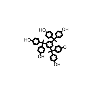 CC(c1ccc(O)cc1)(c1ccc(O)cc1)c1cc(C(C)(c2ccc(O)cc2)c2ccc(O)cc2)cc(C(C)(c2ccc(O)cc2)c2ccc(O)cc2)c1